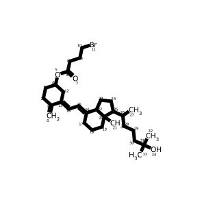 C=C1CCC(OC(=O)CCCBr)C/C1=C\C=C1/CCCC2(C)C1CCC2C(C)CCCC(C)(C)O